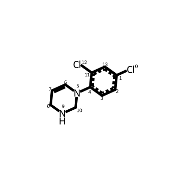 Clc1ccc(N2C=CCNC2)c(Cl)c1